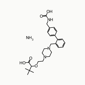 CC(C)(C)C(OCCN1CCN(Cc2ccccc2-c2ccc(CNC(=O)O)cc2)CC1)C(=O)O.N